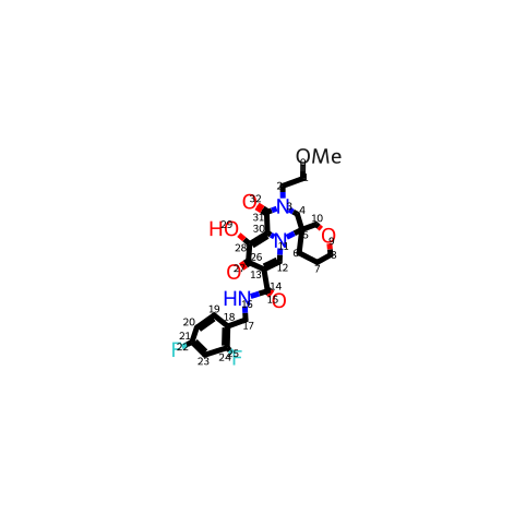 COCCN1CC2(CCCOC2)n2cc(C(=O)NCc3ccc(F)cc3F)c(=O)c(O)c2C1=O